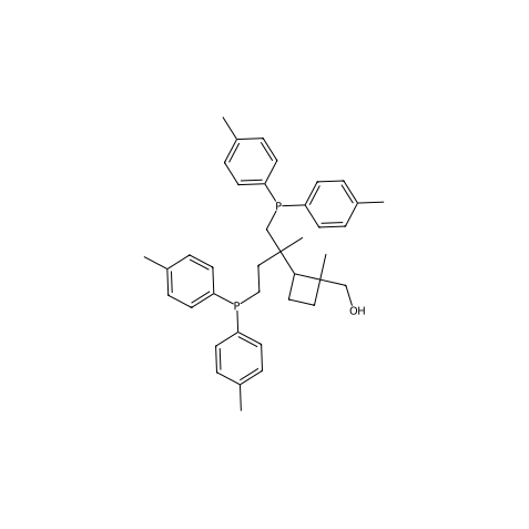 Cc1ccc(P(CCC(C)(CP(c2ccc(C)cc2)c2ccc(C)cc2)C2CCC2(C)CO)c2ccc(C)cc2)cc1